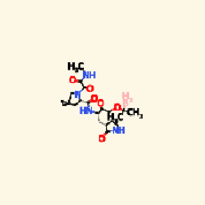 BC(C)(C)OCC(=O)[C@H](C[C@@H]1CCNC1=O)NC(=O)[C@@H]1CC2(CC2)CN1C(=O)C(=O)NC